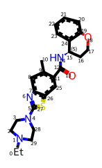 CCN1CCN(c2nc3cc(C)c(C(=O)N[C@H]4CCOc5ccccc54)cc3s2)CC1